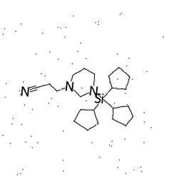 N#CCCN1CCCN([Si](C2CCCC2)(C2CCCC2)C2CCCC2)C1